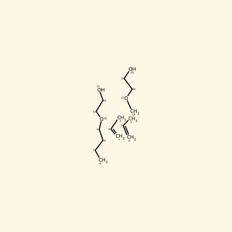 C=CC.C=CC.CCCCOCCO.COCCO